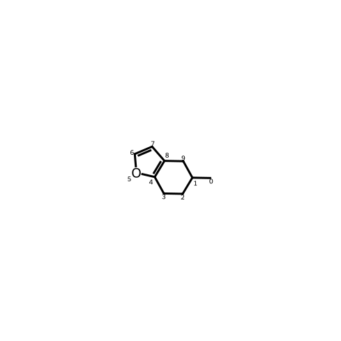 CC1CCc2occc2C1